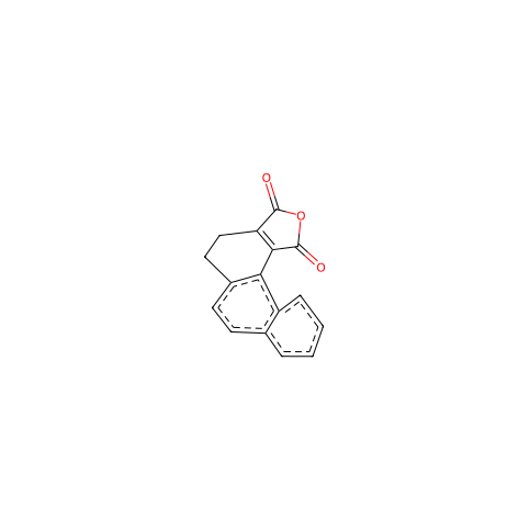 O=C1OC(=O)C2=C1CCc1ccc3ccccc3c12